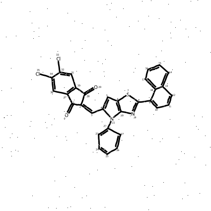 O=C1C(=Cc2cc3sc(-c4cccc5ccccc45)nc3n2-c2ccccc2)C(=O)c2cc(Cl)c(Cl)cc21